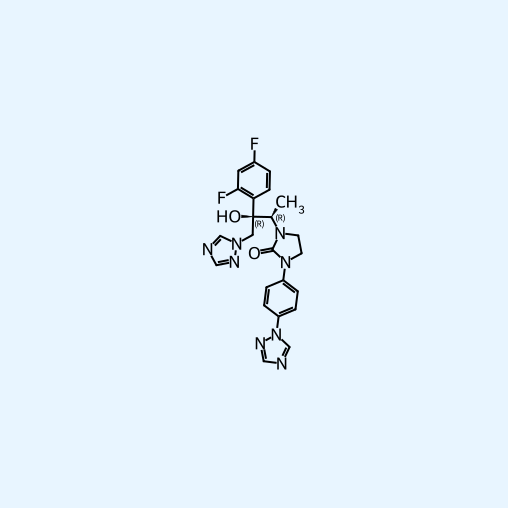 C[C@@H](N1CCN(c2ccc(-n3cncn3)cc2)C1=O)[C@](O)(Cn1cncn1)c1ccc(F)cc1F